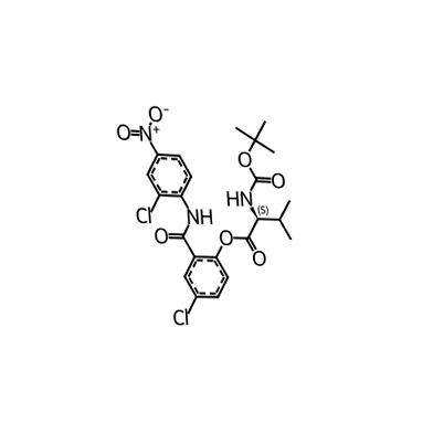 CC(C)[C@H](NC(=O)OC(C)(C)C)C(=O)Oc1ccc(Cl)cc1C(=O)Nc1ccc([N+](=O)[O-])cc1Cl